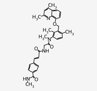 CNC(=O)c1ccc(C=CC(=O)NCC(=O)N(C)c2ccc(C)c(COc3cccc4c(C)cc(C)nc34)c2C)cc1